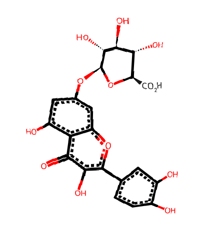 O=C(O)[C@H]1O[C@@H](Oc2cc(O)c3c(=O)c(O)c(-c4ccc(O)c(O)c4)oc3c2)[C@H](O)[C@@H](O)[C@@H]1O